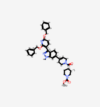 C[C@@H]1CN(C(=O)OC(C)(C)C)CC[C@@H]1C(=O)N1CC=C(c2ccc3c(-c4ccc(OCc5ccccc5)nc4OCc4ccccc4)nn(C)c3c2)CC1